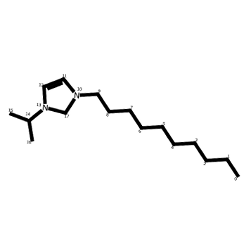 CCCCCCCCCCN1C=CN(C(C)C)C1